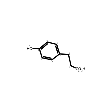 O=C(O)C[CH]c1ccc(O)cc1